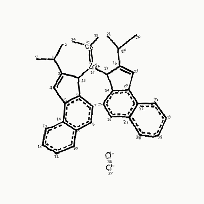 CC(C)C1=Cc2c(ccc3ccccc23)[CH]1[Zr+2]([CH]1C(C(C)C)=Cc2c1ccc1ccccc21)=[Ge]([CH3])[CH3].[Cl-].[Cl-]